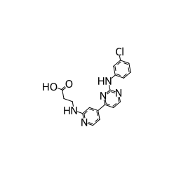 O=C(O)CCNc1cc(-c2ccnc(Nc3cccc(Cl)c3)n2)ccn1